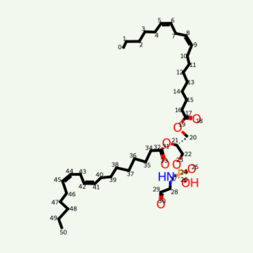 CCCCC/C=C\C/C=C\CCCCCCCC(=O)OC[C@H](COP(=O)(O)NCC=O)OC(=O)CCCCCCC/C=C\C/C=C\CCCCC